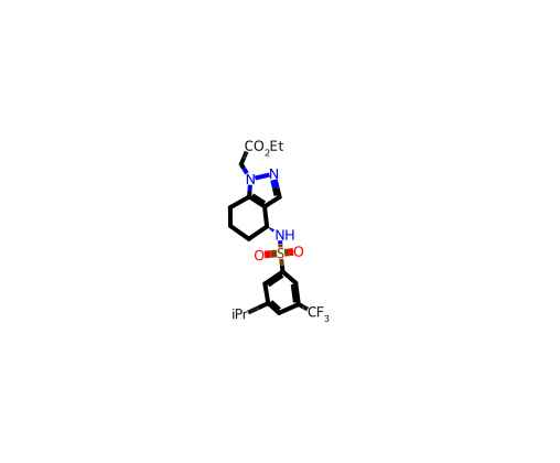 CCOC(=O)Cn1ncc2c1CCC[C@H]2NS(=O)(=O)c1cc(C(C)C)cc(C(F)(F)F)c1